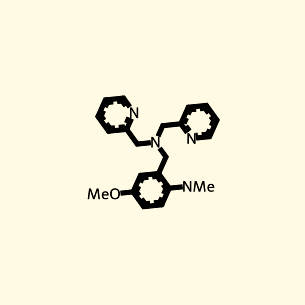 CNc1ccc(OC)cc1CN(Cc1ccccn1)Cc1ccccn1